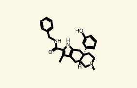 Cc1c(C(=O)NCc2ccccc2)[nH]c2c1C[C@H]1CN(C)CC[C@]1(c1cccc(O)c1)C2